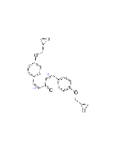 O=C(/C=C\c1ccc(OCC2CO2)cc1)/C=C\c1ccc(OCC2CO2)cc1